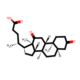 C[C@H](CCC(=O)O)[C@H]1CC[C@H]2[C@@H]3CC[C@@H]4CC(=O)CC[C@]4(C)[C@H]3CC(=O)[C@]12C